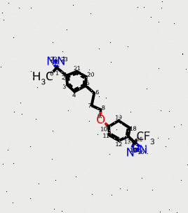 CC1(c2ccc(CCCOC3C=CC(C4(C(F)(F)F)N=N4)=CC3)cc2)N=N1